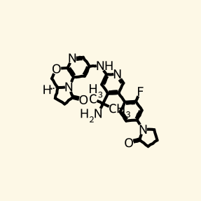 CC(C)(N)c1cc(Nc2cnc3c(c2)N2C(=O)CC[C@H]2CO3)ncc1-c1ccc(N2CCCC2=O)cc1F